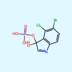 O=P(O)(O)OC1(O)C=Nc2ccc(Br)c(Cl)c21